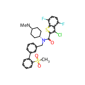 CN[C@H]1CC[C@H](N(Cc2cccc(-c3ccccc3S(C)(=O)=O)c2)C(=O)c2sc3c(F)ccc(F)c3c2Cl)CC1